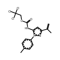 C=C(C)c1cc(NC(=O)OCC(Cl)(Cl)Cl)n(-c2ccc(C)cc2)n1